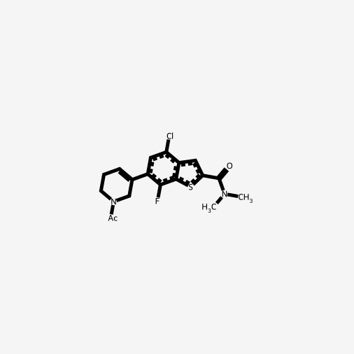 CC(=O)N1CCC=C(c2cc(Cl)c3cc(C(=O)N(C)C)sc3c2F)C1